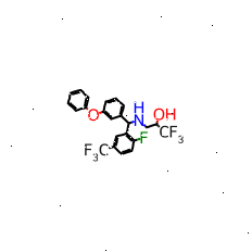 OC(CNC(c1cccc(Oc2ccccc2)c1)c1cc(C(F)(F)F)ccc1F)C(F)(F)F